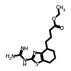 CCOC(=O)CCCC1CCCc2sc(NC(=N)N)nc21